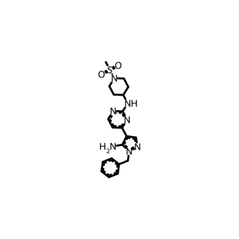 CS(=O)(=O)N1CCC(Nc2nccc(-c3cnn(Cc4ccccc4)c3N)n2)CC1